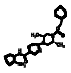 C[C@@H]1CN(c2ccc(C(=O)Nc3ccccc3N)cn2)[C@@H](C)CN1C(=O)OCc1ccccc1